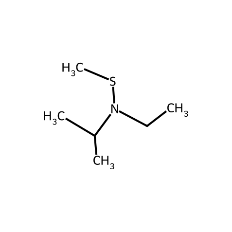 CCN(SC)C(C)C